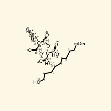 CCCCCCCCCCCCCCCCCCCO.O=[PH]([O-])O[PH](=O)[O-].O=[PH]([O-])O[PH](=O)[O-].[Na+].[Na+].[Na+].[Na+]